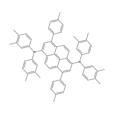 Cc1ccc(-c2cc(N(c3ccc(C)c(C)c3)c3ccc(C)c(C)c3)c3ccc4c(-c5ccc(C)cc5)cc(N(c5ccc(C)c(C)c5)c5ccc(C)c(C)c5)c5ccc2c3c45)cc1